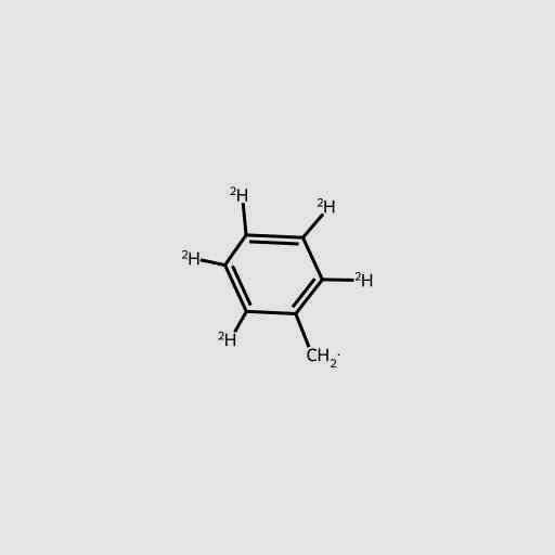 [2H]c1c([2H])c([2H])c([CH2])c([2H])c1[2H]